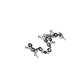 Cc1ncsc1-c1ccc([C@H](C)NC(=O)[C@@H]2C[C@@H](O)CN2C(=O)[C@@H](c2cc(N3CCC(CN4CCC(OC5CC(Oc6cc(CC(F)c7cc(-c8ccccc8O)nnc7N)ccn6)C5)CC4)CC3)no2)C(C)C)cc1